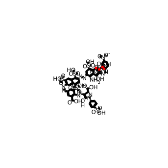 Nc1c(N=Nc2ccc3c(O)c(/N=N\c4cc(C(=O)O)c(/N=N/c5c(C(=O)O)nn(-c6ccc(S(=O)(=O)O)cc6)c5O)c(S(=O)(=O)O)c4)c(S(=O)(=O)O)cc3c2S(=O)(=O)O)cc(S(=O)(=O)O)c2cc(S(=O)(=O)O)c(/N=N\c3ccc([N+](=O)[O-])cc3S(=O)(=O)O)c(O)c12